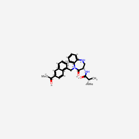 CN[C@@H](C)C(=O)N[C@H]1CNc2ccccc2N(Cc2c(OC)ccc3cc(C(=O)OC)ccc23)C1=O